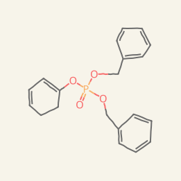 O=P(OCc1ccccc1)(OCc1ccccc1)OC1=CC=CCC1